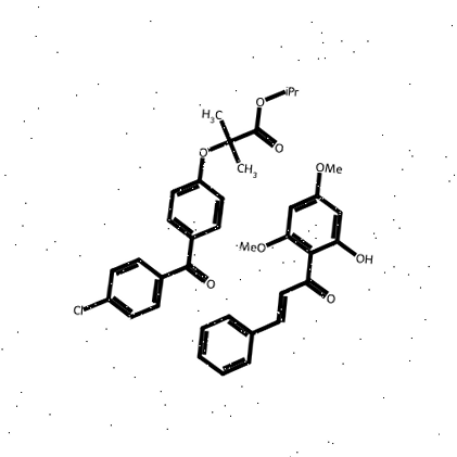 CC(C)OC(=O)C(C)(C)Oc1ccc(C(=O)c2ccc(Cl)cc2)cc1.COc1cc(O)c(C(=O)C=Cc2ccccc2)c(OC)c1